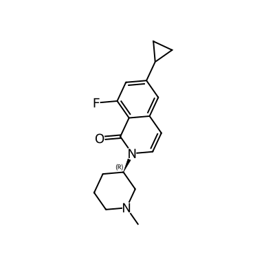 CN1CCC[C@@H](n2ccc3cc(C4CC4)cc(F)c3c2=O)C1